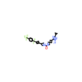 O=C(N1CC(C23CC(C(F)(F)c4ccc(C(F)(F)F)cc4)(C2)C3)C1)N1CC2(CC(c3nc(C4CC4)n[nH]3)C2)C1